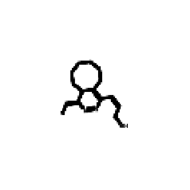 C/C=C1\N=NC(/C=C\CO)=C2CCCCCCC21